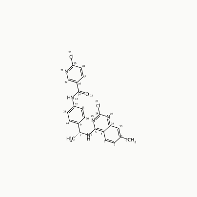 Cc1ccc2c(N[C@H](C)c3ccc(NC(=O)c4ccc(Cl)nc4)cc3)nc(Cl)nc2c1